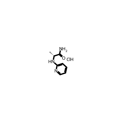 C[C@@H](Nc1ccccn1)C(N)=O.Cl